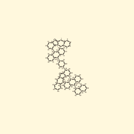 c1ccc2cc3c(cc2c1)oc1cccc(-c2c4ccccc4c(-c4ccc(-c5ccc(-c6c7ccccc7c(-c7cccc8ccccc78)c7ccccc67)c6c5oc5cc7ccccc7cc56)cc4)c4ccccc24)c13